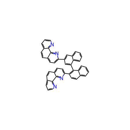 c1ccc2c(-c3c(-c4ccc5ccc6cccnc6c5n4)ccc4ccccc34)cc(-c3ccc4ccc5cccnc5c4n3)cc2c1